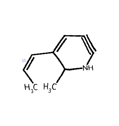 C/C=C\C1=CC#CNC1C